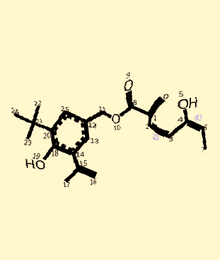 C=C(/C=C\C(O)=C/C)C(=O)OCc1cc(C(=C)C)c(O)c(C(C)(C)C)c1